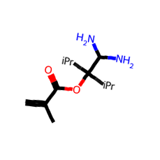 C=C(C)C(=O)OC(C(C)C)(C(C)C)C(N)N